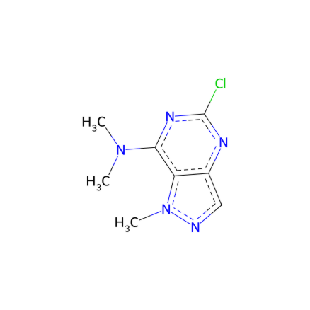 CN(C)c1nc(Cl)nc2cnn(C)c12